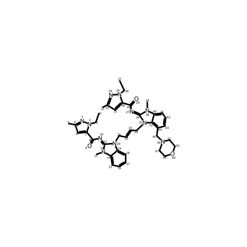 CCn1nc(C)cc1C(=O)/N=c1\n(C)c2ccccc2n1C/C=C/Cn1/c(=N/C(=O)c2cc(C)nn2CC)n(C)c2cccc(CN3CCOCC3)c21